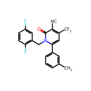 [C-]#[N+]c1c(C(F)(F)F)cc(-c2cccc(C)c2)n(Cc2cc(F)ccc2F)c1=O